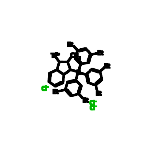 CCc1cc(CC)cc([Si](c2cc(CC)cc(CC)c2)(c2cc(CC)cc(CC)c2)C2C(C)[CH]([Ti+3])C3C=CC=CC32)c1.[Cl-].[Cl-].[Cl-]